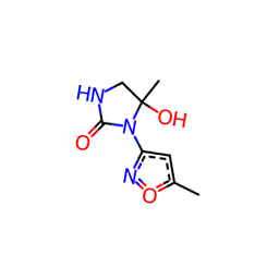 Cc1cc(N2C(=O)NCC2(C)O)no1